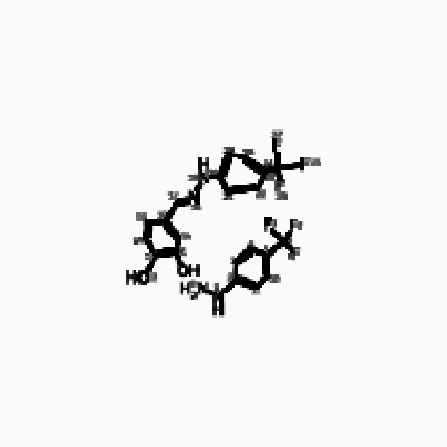 NNc1ccc(C(F)(F)F)cc1.Oc1ccc(C=NNc2ccc(C(F)(F)F)cc2)cc1O